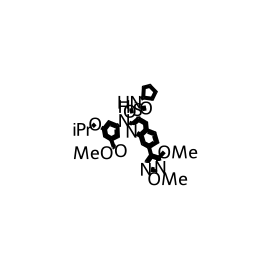 COC(=O)c1cc(Nc2nc3cc(-c4cnc(OC)nc4OC)ccc3cc2S(=O)(=O)NC2CCCC2)cc(OC(C)C)c1